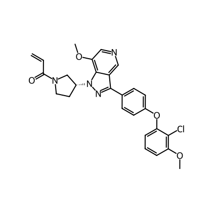 C=CC(=O)N1CC[C@@H](n2nc(-c3ccc(Oc4cccc(OC)c4Cl)cc3)c3cncc(OC)c32)C1